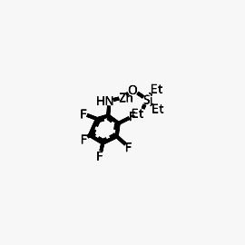 CC[Si](CC)(CC)[O][Zn][NH]c1c(F)c(F)c(F)c(F)c1F